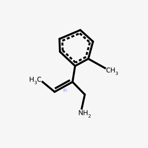 C/C=C(/CN)c1ccccc1C